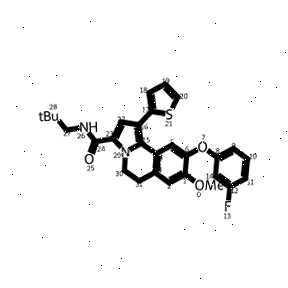 COc1cc2c(cc1Oc1cccc(F)c1)-c1c(-c3cccs3)cc(C(=O)NCC(C)(C)C)n1CC2